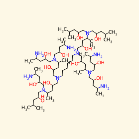 CC(C)CC(O)CN(CC(O)CC(C)C)C(C)CC(O)CN(CCCCCCN(CC(O)CC(C)N(CC(O)CC(C)C)CC(O)CC(C)N)CC(O)CC(C)N(CC(O)CC(C)N)CC(O)CC(C)N)CC(O)CC(C)N(CC(O)CC(C)N)CC(O)CC(C)N